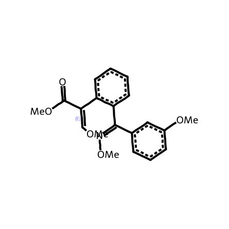 CO/C=C(/C(=O)OC)c1ccccc1C(=NOC)c1cccc(OC)c1